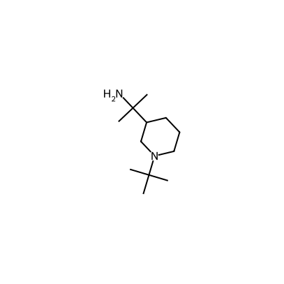 CC(C)(N)C1CCCN(C(C)(C)C)C1